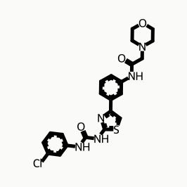 O=C(CN1CCOCC1)Nc1cccc(-c2csc(NC(=O)Nc3cccc(Cl)c3)n2)c1